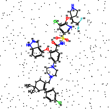 CC1(C)CCC(CN2CCN(c3ccc(C(=O)NS(=O)(=O)c4cnc(O[C@@]5(CC(F)F)CCNC5)c(Cl)c4)c(Oc4cccc5[nH]ncc45)c3)CC2)=C(c2ccc(Cl)cc2)C1